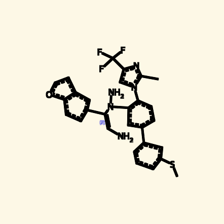 CSc1cccc(-c2ccc(-n3cc(C(F)(F)F)nc3C)c(N(N)/C(=C\N)c3ccc4occc4c3)c2)c1